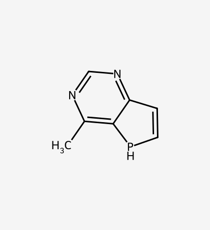 Cc1ncnc2cc[pH]c12